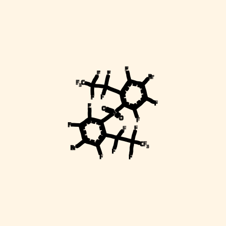 O=S(=O)(c1c(F)c(F)c(Br)c(F)c1C(F)(F)C(F)(F)C(F)(F)F)c1c(F)c(F)c(Br)c(F)c1C(F)(F)C(F)(F)C(F)(F)F